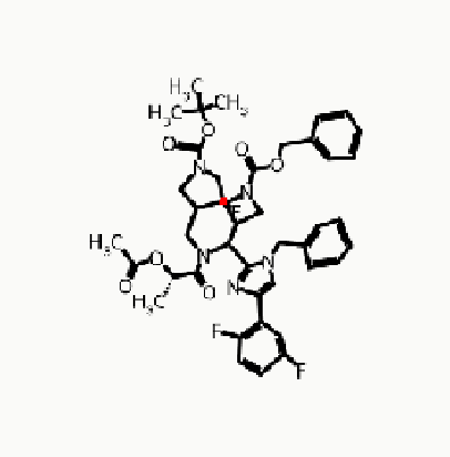 CC(=O)O[C@@H](C)C(=O)N(CC1CN(C(=O)OC(C)(C)C)CC1F)C(c1nc(-c2cc(F)ccc2F)cn1Cc1ccccc1)C1CN(C(=O)OCc2ccccc2)C1